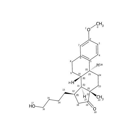 COc1ccc2c(c1)CC[C@H]1[C@@H]3[C@H](CCCCO)CC(=O)[C@@]3(C)CC[C@H]21